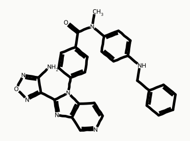 CN(C(=O)c1ccc(-n2c(-c3nonc3N)nc3cnccc32)cc1)c1ccc(NCc2ccccc2)cc1